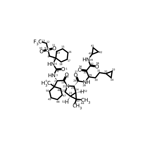 CC1([C@H](NC(=O)NC2(CS(=O)(=O)CC(F)(F)F)CCCCC2)C(=O)N2C[C@H]3[C@@H]([C@H]2C(=O)NC(CCC2CC2)C(=O)C(=O)NC2CC2)C3(C)C)CCCCC1